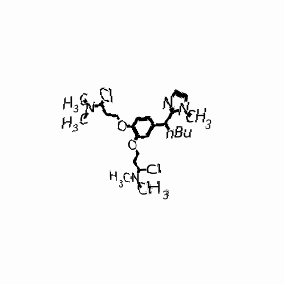 CCCCC(c1ccc(OCCC(Cl)N(C)C)c(OCCC(Cl)N(C)C)c1)c1nccn1C